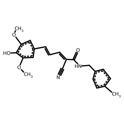 COc1cc(/C=C/C=C(\C#N)C(=O)NCc2ccc(C)cc2)cc(OC)c1O